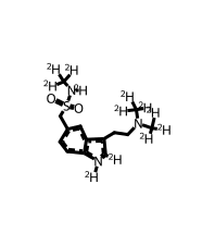 [2H]c1c(CCN(C([2H])([2H])[2H])C([2H])([2H])[2H])c2cc(CS(=O)(=O)N([2H])C([2H])([2H])[2H])ccc2n1[2H]